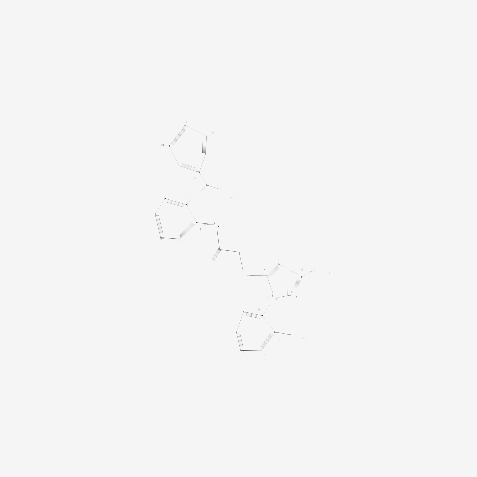 O=C(COc1cc(C(F)(F)F)nn1-c1ccccc1Cl)Nc1ccccc1C(O)c1ccccc1